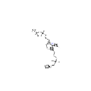 CCC(C)(C)CC(C)(C)CCCN1CCN(CCCC(C)(C)CC(C)(C)C)/C1=N\C